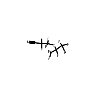 N#CC(F)(F)C(F)(F)OC(F)(C(F)F)C(F)(F)F